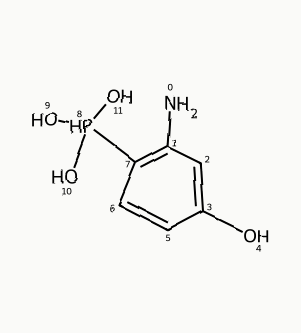 Nc1cc(O)ccc1[PH](O)(O)O